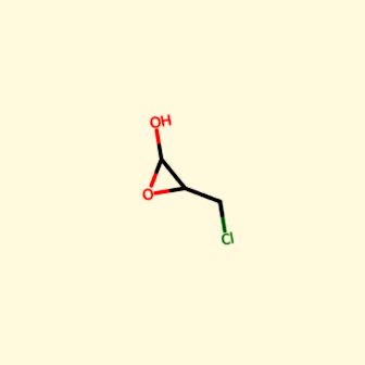 OC1OC1CCl